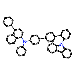 c1ccc(-c2ccc(N(c3ccccc3)c3ccc(-c4ccc(-c5ccccc5-n5c6ccccc6c6ccccc65)cc4)cc3)c3ccccc23)cc1